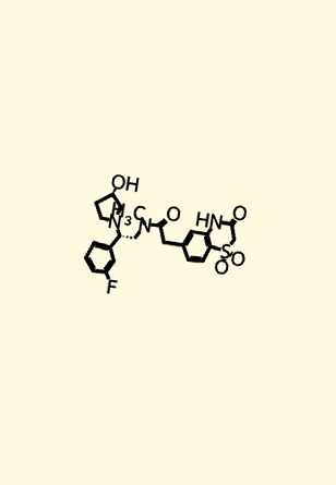 CN(C[C@H](c1cccc(F)c1)N1CC[C@H](O)C1)C(=O)Cc1ccc2c(c1)NC(=O)CS2(=O)=O